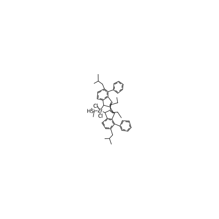 CCCC1=Cc2c(ccc(CC(C)C)c2-c2ccccc2)[CH]1[Zr]([Cl])([Cl])([CH]1C(CCC)=Cc2c1ccc(CC(C)C)c2-c1ccccc1)[SiH](C)C